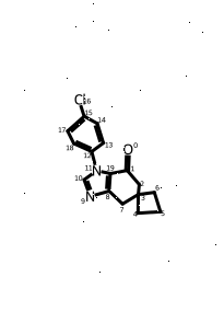 O=C1CC2(CCC2)Cc2ncn(-c3ccc(Cl)cc3)c21